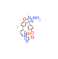 CN1C(=O)C(c2ccc(OS(=O)(=O)c3cn(C)cn3)cc2)(c2ccc(F)c(-c3cccnc3)c2)N=C1N